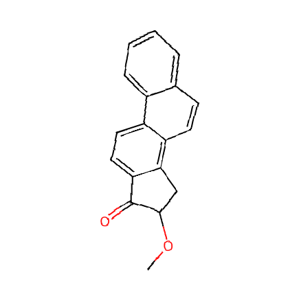 COC1Cc2c(ccc3c2ccc2ccccc23)C1=O